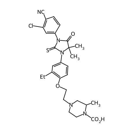 CCc1cc(N2C(=S)N(c3ccc(C#N)c(Cl)c3)C(=O)C2(C)C)ccc1OCCN1CCN(C(=O)O)C(C)C1